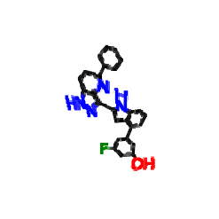 Oc1cc(F)cc(-c2cccc3[nH]c(-c4n[nH]c5ccc(-c6ccccc6)nc45)cc23)c1